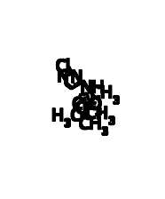 CC[C@@](C)(Nc1ccnc(Cl)n1)C(=O)OC(C)(C)C